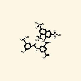 Nc1cc(C(=O)O)cc(C(=O)Nc2cc(C(=O)O)cc(C(=O)Nc3cc(S(=O)(=O)O)cc4cc(S(=O)(=O)O)cc(S(=O)(=O)O)c34)c2)c1